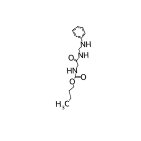 CCCCOC(=O)NCC(=O)NCNc1ccccc1